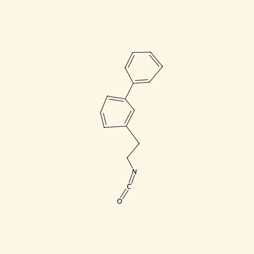 O=C=NCCc1cccc(-c2ccccc2)c1